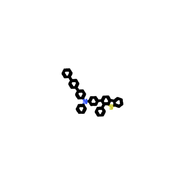 c1ccc(-c2ccc(-c3ccc(N(c4ccccc4)c4ccc(-c5ccc6c(sc7ccccc76)c5-c5ccccc5)cc4)cc3)cc2)cc1